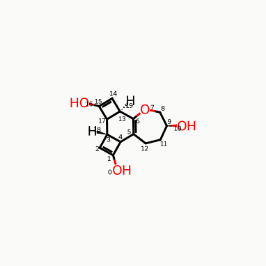 OC1=C[C@H]2C1C1=C(OC[C@@H](O)CC1)[C@@H]1C=C(O)C21